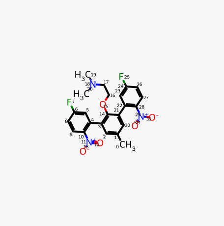 Cc1cc(-c2cc(F)ccc2[N+](=O)[O-])c(OCCN(C)C)c(-c2cc(F)ccc2[N+](=O)[O-])c1